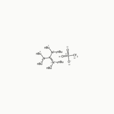 CCCCN(CCCC)C(N(CCCC)CCCC)=[N+](CCCC)CCCC.O=S(=O)([O-])C(F)(F)F